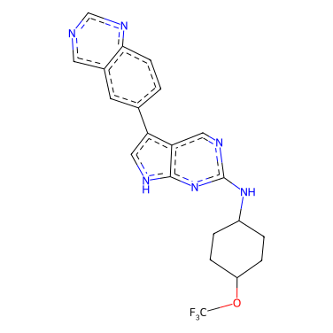 FC(F)(F)OC1CCC(Nc2ncc3c(-c4ccc5ncncc5c4)c[nH]c3n2)CC1